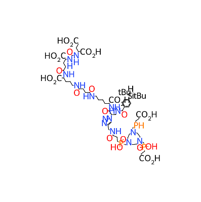 CC(C)(C)[SiH](c1ccc(C(=O)NC[C@H](C(=O)N[C@@H](CCCCNC(=O)CCC(=O)NCCC[C@H](NC(=O)CC[C@H](NC(=O)N[C@@H](CCC(=O)O)C(=O)O)C(=O)O)C(=O)O)C(=O)O)n2cc(CNC(=O)CCP(=O)(O)CN3CCN(CPCCC(=O)O)CCN(CP(=O)(O)CCC(=O)O)CC3)nn2)cc1)C(C)(C)C